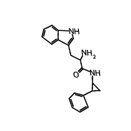 NC(Cc1c[nH]c2ccccc12)C(=O)NC1CC1c1ccccc1